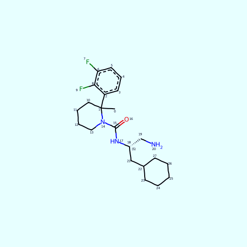 CC1(c2cccc(F)c2F)CCCCN1C(=O)N[C@H](CN)CC1CCCCC1